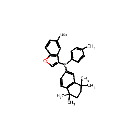 Cc1ccc(B(c2ccc3c(c2)C(C)(C)CCC3(C)C)c2coc3ccc(C(C)(C)C)cc23)cc1